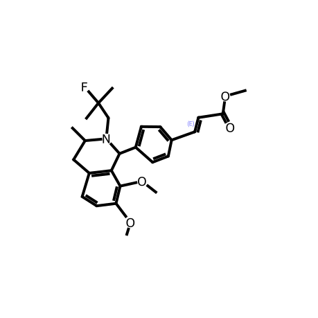 COC(=O)/C=C/c1ccc(C2c3c(ccc(OC)c3OC)CC(C)N2CC(C)(C)F)cc1